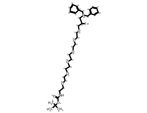 CC(C)(C)OC(=O)NCCOCCOCCOCCOCCOCCOCC(F)CN(Cc1ccccc1)Cc1ccccc1